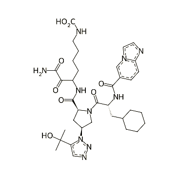 CC(C)(O)c1cnnn1[C@H]1C[C@@H](C(=O)NC(CCCCNC(=O)O)C(=O)C(N)=O)N(C(=O)[C@@H](CC2CCCCC2)NC(=O)c2ccc3nccn3c2)C1